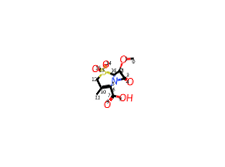 CO[C@H]1C(=O)N2C(C(=O)O)=C(C)CS(=O)(=O)C12